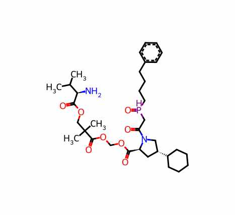 CC(C)[C@@H](N)C(=O)OCC(C)(C)C(=O)OCOC(=O)[C@@H]1C[C@@H](C2CCCCC2)CN1C(=O)C[PH](=O)CCCCc1ccccc1